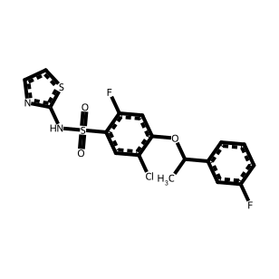 CC(Oc1cc(F)c(S(=O)(=O)Nc2nccs2)cc1Cl)c1cccc(F)c1